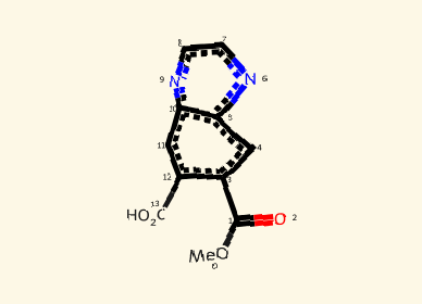 COC(=O)c1cc2nccnc2cc1C(=O)O